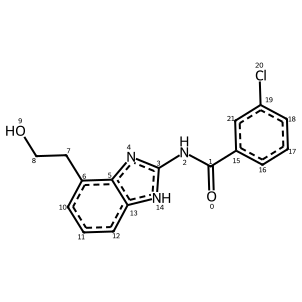 O=C(Nc1nc2c(CCO)cccc2[nH]1)c1cccc(Cl)c1